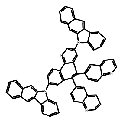 c1ccc2cc3c(cc2c1)c1ccccc1n3-c1ccc2c(c1)c(-c1ccc3ncccc3c1)c(-c1ccc3ncccc3c1)c1cc(-n3c4ccccc4c4cc5ccccc5cc43)cnc12